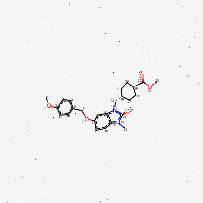 COc1ccc(COc2ccc3c(c2)n(C[C@H]2CC[C@H](C(=O)OC)CC2)c(=O)n3C)cc1